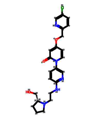 O=c1cc(OCc2ccc(Cl)cn2)ccn1-c1ccc(NCCN2CCC[C@@H]2CO)nc1